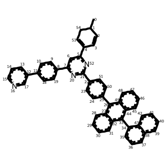 CC1C=CC(c2cc(-c3ccc(-c4cccnc4)cc3)nc(-c3ccc(-c4c5ccccc5c(-c5cccc6ccccc56)c5ccccc45)cc3)n2)=CC1